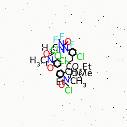 CC1COc2ccccc2N1C(=O)C(Cl)Cl.CCOC(=O)C(Cl)Cc1cc(-n2nc(C)n(C(F)F)c2=O)c(F)cc1Cl.CCc1cccc(C)c1N(C(=O)CCl)C(C)COC